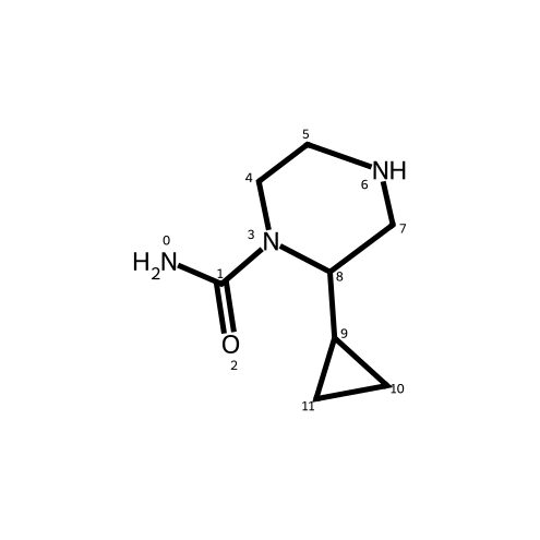 NC(=O)N1CCNCC1C1CC1